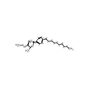 C=C(OC(C)C(=O)OCC)c1ccc(CCCCCCCCCC)cc1